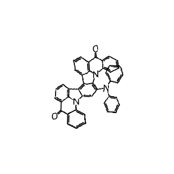 O=c1c2ccccc2n2c3cc(N(c4ccccc4)c4ccccc4)c4c(c5cccc6c(=O)c7ccccc7n4c65)c3c3cccc1c32